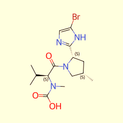 CC(C)[C@@H](C(=O)N1C[C@@H](C)C[C@H]1c1ncc(Br)[nH]1)N(C)C(=O)O